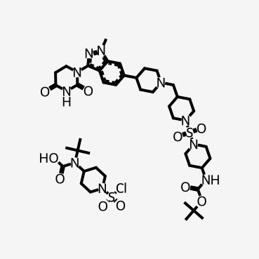 CC(C)(C)N(C(=O)O)C1CCN(S(=O)(=O)Cl)CC1.Cn1nc(N2CCC(=O)NC2=O)c2ccc(C3CCN(CC4CCN(S(=O)(=O)N5CCC(NC(=O)OC(C)(C)C)CC5)CC4)CC3)cc21